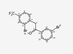 O=C(Cc1ccc(C(F)(F)F)cc1Br)c1cccc(Br)c1